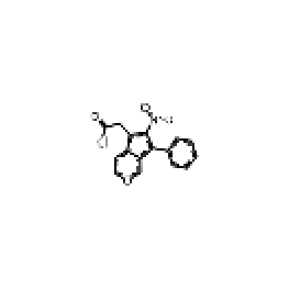 O=C(Cl)Cc1c2ccocc-2c(-c2ccccc2)c1[N+](=O)[O-]